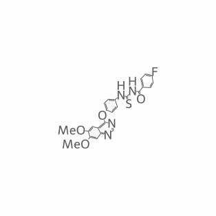 COc1cc2ncnc(Oc3ccc(NC(=S)NC(=O)c4ccc(F)cc4)cc3)c2cc1OC